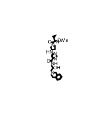 CON=C(C(=O)N1CCC(Nc2cc(C(=O)NCC(O)CN3CCc4ccccc4C3)ncn2)C1)C1CC1